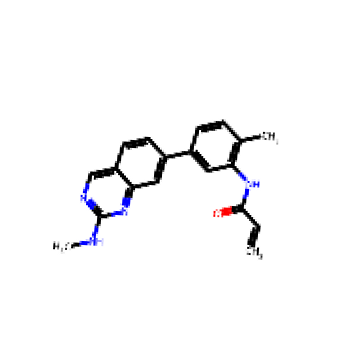 C=CC(=O)Nc1cc(-c2ccc3cnc(NC)nc3c2)ccc1C